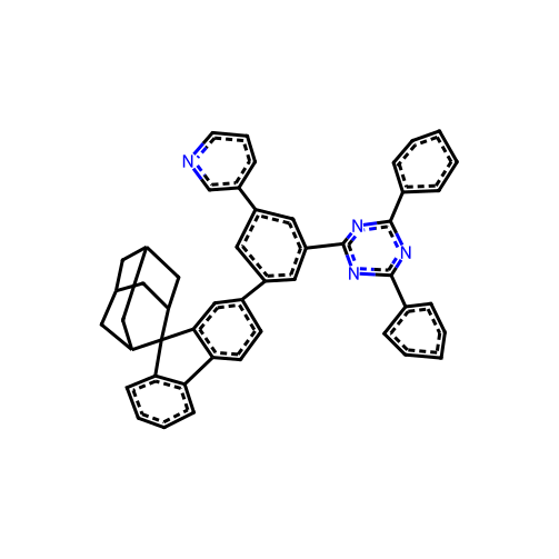 c1ccc(-c2nc(-c3ccccc3)nc(-c3cc(-c4cccnc4)cc(-c4ccc5c(c4)C4(c6ccccc6-5)C5CC6CC(C5)CC4C6)c3)n2)cc1